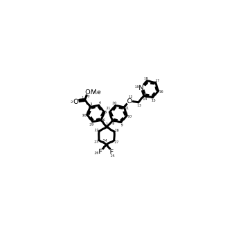 COC(=O)c1ccc(C2(c3ccc(OCc4ccccn4)cc3)CCC(F)(F)CC2)cc1